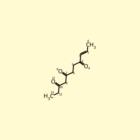 CC=CC(=O)CCC(=O)CC(=O)CC